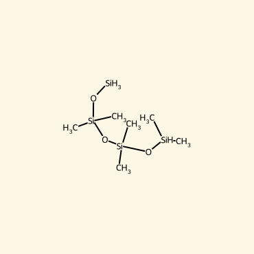 C[SiH](C)O[Si](C)(C)O[Si](C)(C)O[SiH3]